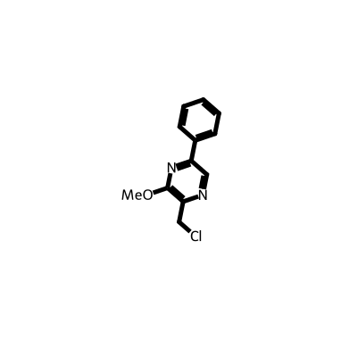 COc1nc(-c2ccccc2)cnc1CCl